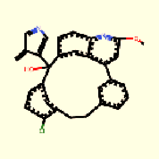 C=C1C=NC=C1C1(O)c2ccc(Cl)c(c2)CCc2cccc(c2)-c2cc(OC)nc3ccc1cc23